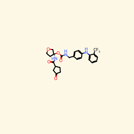 O=C1CCC(C(=O)N[C@]2(OC(=O)NCc3ccc(Nc4ccccc4C(F)(F)F)cc3)CCOC2)C1